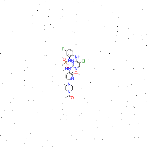 COc1nc(N2CCN(C(C)=O)CC2)ccc1Nc1ncc(Cl)c(Nc2ccc(F)cc2NS(C)(=O)=O)n1